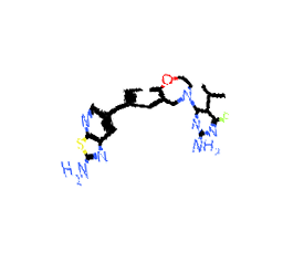 C=C1OCCN(C2N=C(N)N=C(F)C2C(C)C)C/C1=C/C(=C\C)c1cnc2sc(N)nc2c1